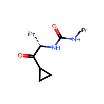 CC(C)NC(=O)N[C@H](C(=O)C1CC1)C(C)C